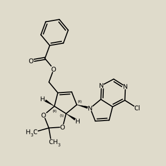 CC1(C)O[C@@H]2[C@H](O1)C(COC(=O)c1ccccc1)=C[C@H]2n1ccc2c(Cl)ncnc21